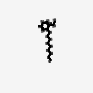 CCCCCCCCCc1[c]cccc1CC